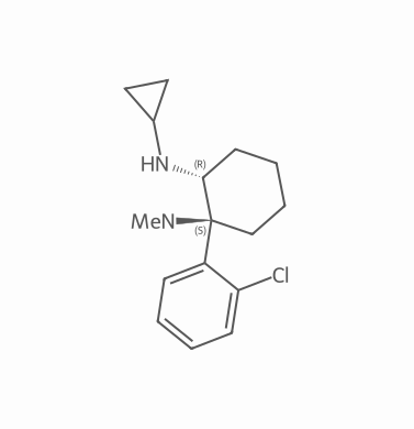 CN[C@]1(c2ccccc2Cl)CCCC[C@H]1NC1CC1